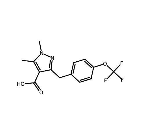 Cc1c(C(=O)O)c(Cc2ccc(OC(F)(F)F)cc2)nn1C